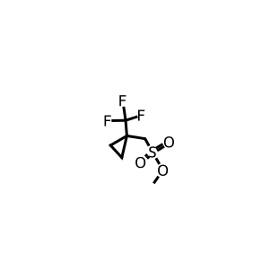 COS(=O)(=O)CC1(C(F)(F)F)CC1